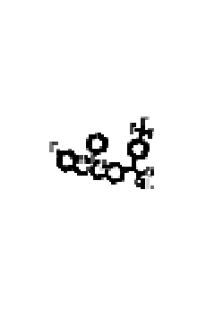 NC(=O)C(c1ccc(C(F)(F)F)cc1)C1CCC(CN(Cc2ccc(F)cc2)S(=O)(=O)c2ccccc2)CC1